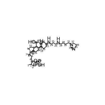 CC(C)[C@@H](CC[C@@H](C)[C@H]1CCC2C3C(CC[C@@]21C)[C@@]1(C)CC[C@H](NCCCNCCCCN2C=NCCC2)C[C@@H]1C[C@H]3O)OS(=O)(=O)O